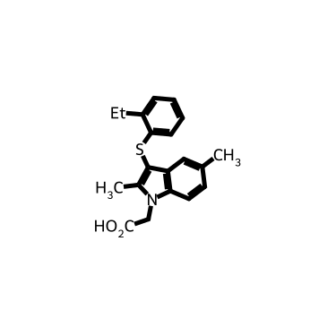 CCc1ccccc1Sc1c(C)n(CC(=O)O)c2ccc(C)cc12